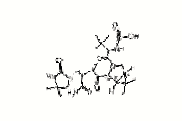 CC1(C)C[C@@H](CC(NC(=O)[C@@H]2[C@@H]3[C@H](CN2C(=O)C(NC(=O)O)C(C)(C)C)C3(C)C)C(N)=O)C(=O)N1